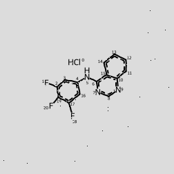 Cl.Fc1cc(Nc2ncnc3ccccc23)cc(F)c1F